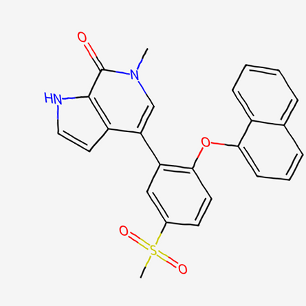 Cn1cc(-c2cc(S(C)(=O)=O)ccc2Oc2cccc3ccccc23)c2cc[nH]c2c1=O